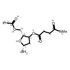 B[C@H]1CC(OC(=O)CCC(=O)NC)[C@@H](COC(=O)C(C)C)O1